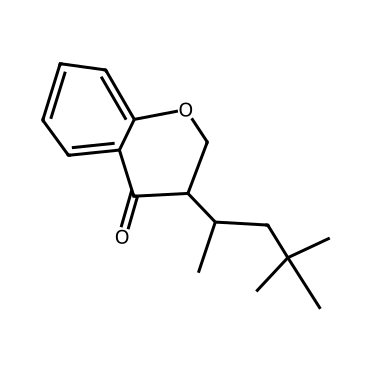 CC(CC(C)(C)C)C1COc2ccccc2C1=O